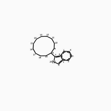 C1=c2ccccc2=C(C2CCCCCCCCCCC2)[N]1